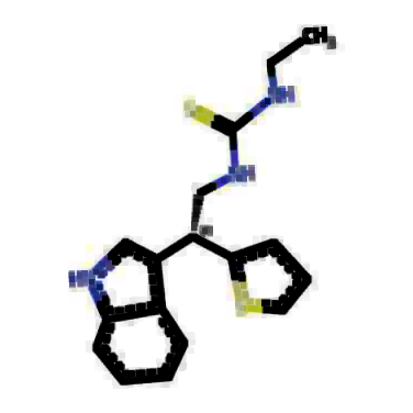 CCNC(=S)NC[C@H](c1cccs1)c1c[nH]c2ccccc12